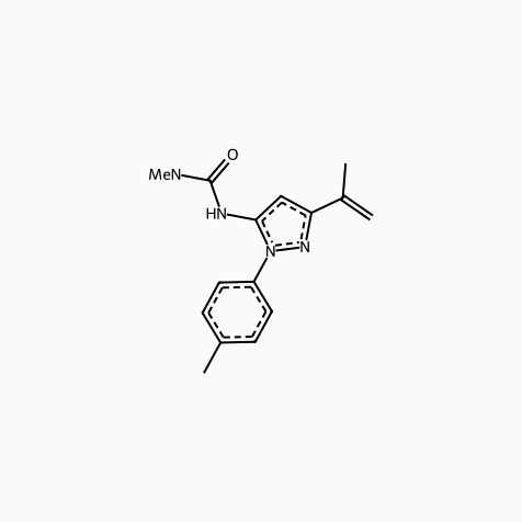 C=C(C)c1cc(NC(=O)NC)n(-c2ccc(C)cc2)n1